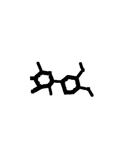 COc1ccc(-c2nc(C)[nH]c(=O)c2C)cc1OC